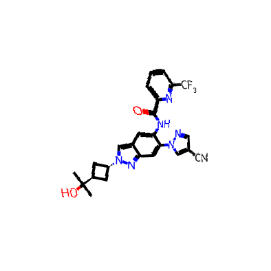 CC(C)(O)[C@H]1C[C@H](n2cc3cc(NC(=O)c4cccc(C(F)(F)F)n4)c(-n4cc(C#N)cn4)cc3n2)C1